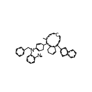 C=Nc1ccccc1N(Cc1ccccc1)C1=CCC(c2c(C)cccccc(-c3ccc4ccccc4c3)c3c2CCC=C3)C=C1